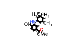 COC(=O)c1ccc(N=O)c(NC2CC(C)CC(C)(C)C2)c1